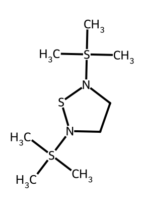 CS(C)(C)N1CCN(S(C)(C)C)S1